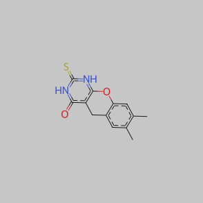 Cc1cc2c(cc1C)Oc1[nH]c(=S)[nH]c(=O)c1C2